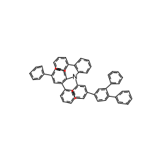 c1ccc(-c2ccc(N(c3cccc(-c4ccc(-c5ccccc5)c(-c5ccccc5)c4)c3)c3ccccc3-c3ccccc3)c(-c3ccccc3)c2)cc1